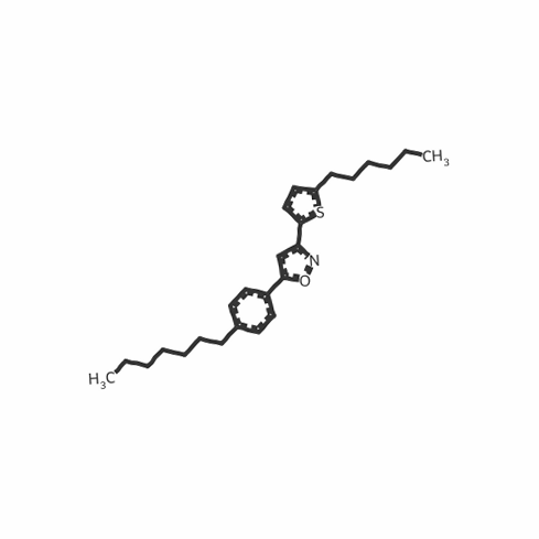 CCCCCCCc1ccc(-c2cc(-c3ccc(CCCCCC)s3)no2)cc1